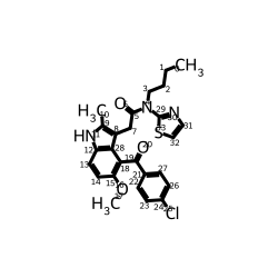 CCCCN(C(=O)Cc1c(C)[nH]c2ccc(OC)c(C(=O)c3ccc(Cl)cc3)c12)c1nccs1